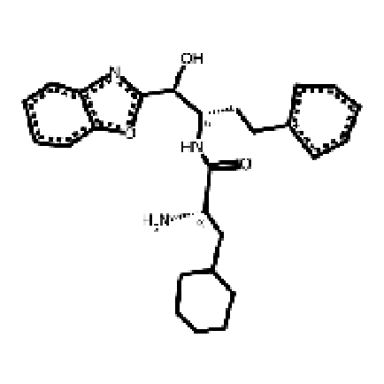 N[C@@H](CC1CCCCC1)C(=O)N[C@@H](CCc1ccccc1)C(O)c1nc2ccccc2o1